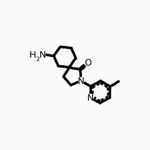 Cc1ccnc(N2CCC3(CCCC(N)C3)C2=O)c1